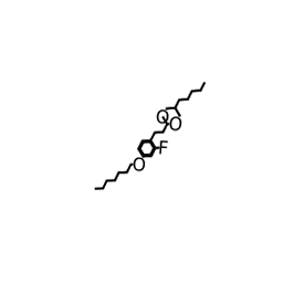 CCCCCCCOc1ccc(CCC2OCC(CCCCC)CO2)c(F)c1